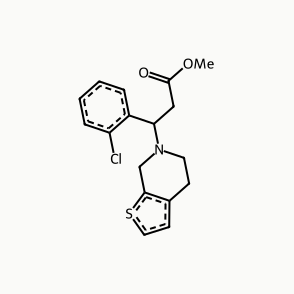 COC(=O)CC(c1ccccc1Cl)N1CCc2ccsc2C1